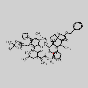 CC[C@H](C)[C@H](NC(=O)[C@H](CC(C)C)N(C)C(=O)C[C@@H](C(=O)N(C)C)N(C)C(=O)[C@H](C1CCCC1)N(C)C(=O)C1(NC(=O)OCc2ccccc2)CCCC1)C(=O)N(C)[C@@H](C)C(=O)N1CC[C@H]1C(=O)OC(C)(C)C